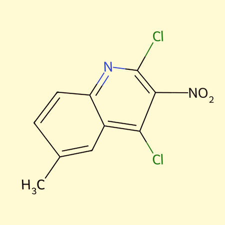 Cc1ccc2nc(Cl)c([N+](=O)[O-])c(Cl)c2c1